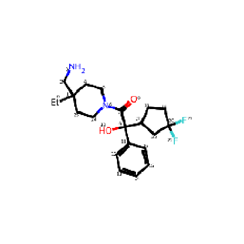 CCC1(CN)CCN(C(=O)C(O)(c2ccccc2)C2CCC(F)(F)C2)CC1